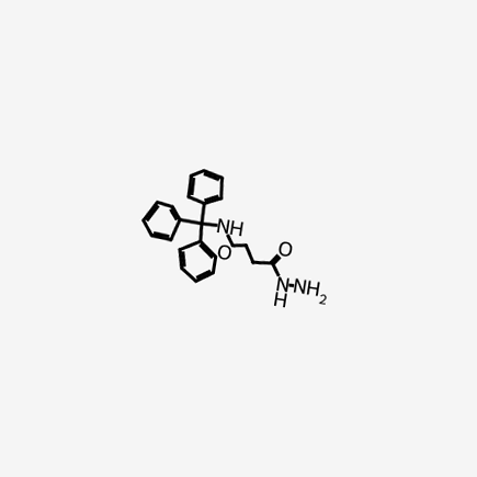 NNC(=O)CCC(=O)NC(c1ccccc1)(c1ccccc1)c1ccccc1